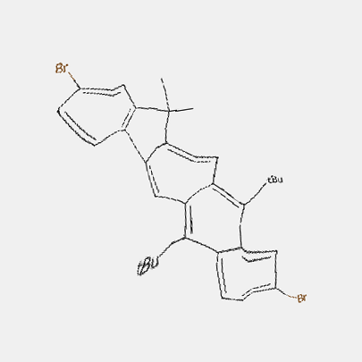 CC(C)(C)c1c2ccc(Br)cc2c(C(C)(C)C)c2cc3c(cc12)-c1ccc(Br)cc1C3(C)C